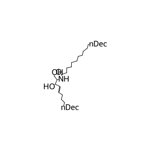 CCCCCCCCCCCCC/C=C/C(O)C(CO)NC(=O)CCCCCCCCCCCCCCCCCCCC